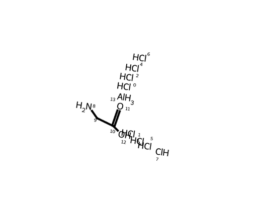 Cl.Cl.Cl.Cl.Cl.Cl.Cl.Cl.NCC(=O)O.[AlH3]